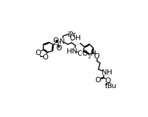 CC(C)CN(C[C@H](O)[C@H](Cc1ccc(OCCCNC(=O)OC(C)(C)C)cc1)NC(=O)O)S(=O)(=O)c1ccc2c(c1)OCO2